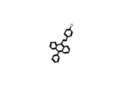 Clc1ccc(/C=C/c2c3ccccc3c(-c3ccccc3)c3ccccc23)cc1